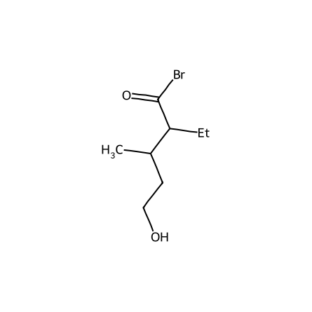 CCC(C(=O)Br)C(C)CCO